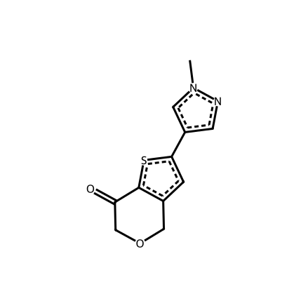 Cn1cc(-c2cc3c(s2)C(=O)COC3)cn1